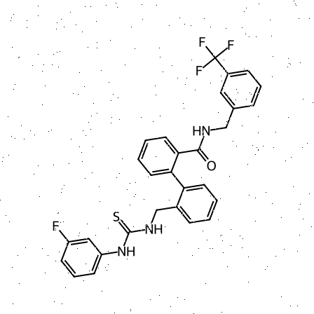 O=C(NCc1cccc(C(F)(F)F)c1)c1ccccc1-c1ccccc1CNC(=S)Nc1cccc(F)c1